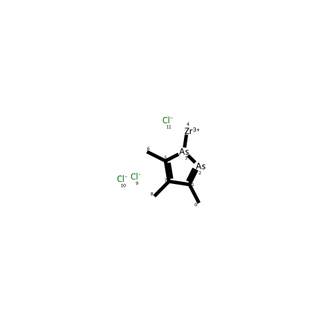 CC1=[As][As]([Zr+3])C(C)=C1C.[Cl-].[Cl-].[Cl-]